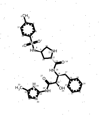 Cc1ccc(S(=O)(=O)N[C@H]2CN[C@H](C(=O)N[C@@H](Cc3ccccc3)[C@@H](O)C(=O)Nc3ncc(C)[nH]3)C2)cc1